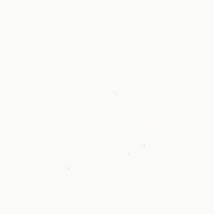 O=C(NCc1ccc(F)c(Cl)c1)c1cc(-c2ccncc2)n[nH]c1=O